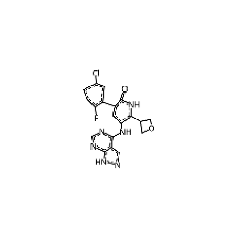 O=c1[nH]c(C2COC2)c(Nc2ncnc3[nH]ncc23)cc1-c1cc(Cl)ccc1F